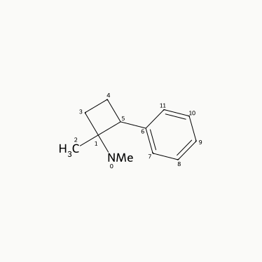 CNC1(C)CCC1c1ccccc1